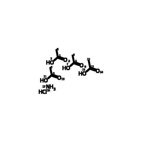 CC(=O)O.CC(=O)O.CC(=O)O.CC(=O)O.Cl.N